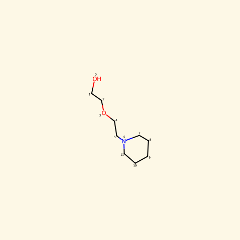 OCCOCCN1CCCCC1